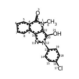 Cn1c(=O)c2ccccc2c2nn(-c3ccc(Cl)cc3)c(O)c21